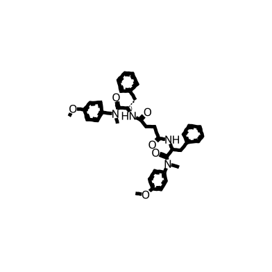 COc1ccc(N(C)C(=O)C(Cc2ccccc2)NC(=O)CCC(=O)N[C@@H](Cc2ccccc2)C(=O)N(C)c2ccc(OC)cc2)cc1